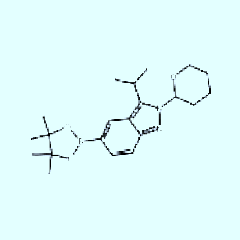 CC(C)c1c2cc(B3OC(C)(C)C(C)(C)O3)ccc2nn1C1CCCCO1